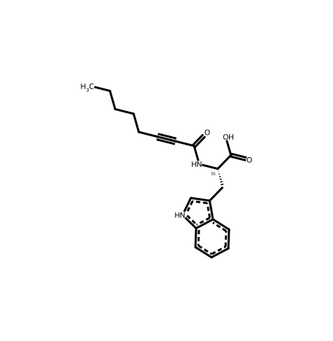 CCCCCC#CC(=O)N[C@@H](Cc1c[nH]c2ccccc12)C(=O)O